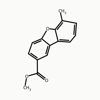 COC(=O)c1ccc2oc3c(C)cccc3c2c1